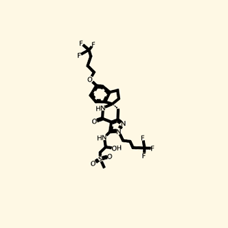 CS(=O)(=O)CC(O)Nc1c2c(nn1CCCC(F)(F)F)C[C@]1(CCc3cc(OCCCC(F)(F)F)ccc31)NC2=O